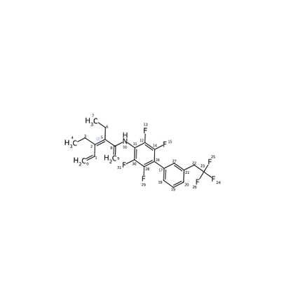 C=C/C(CC)=C(/CC)C(=C)Nc1c(F)c(F)c(-c2cccc(CC(F)(F)F)c2)c(F)c1F